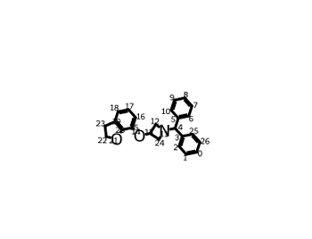 c1ccc(C(c2ccccc2)N2CC(Oc3cccc4c3OCC4)C2)cc1